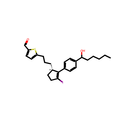 CCCCCC(O)c1ccc(C2=C(I)CC[C@@H]2CCCc2ccc(C=O)s2)cc1